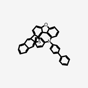 c1ccc(-c2ccc(N(c3ccccc3)c3cccc4oc5ccc6c7cc8ccccc8cc7sc6c5c34)cc2)cc1